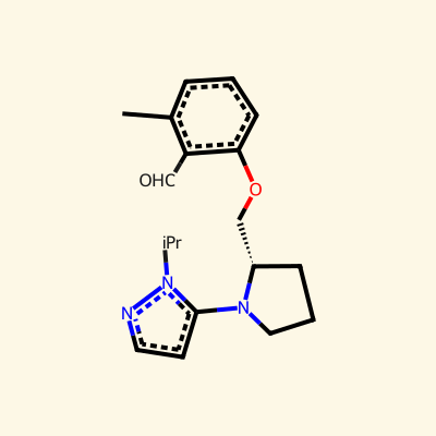 Cc1cccc(OC[C@@H]2CCCN2c2ccnn2C(C)C)c1C=O